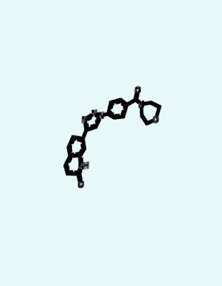 O=C(c1ccc(-n2cc(-c3ccc4ccc(=O)[nH]c4c3)nn2)cc1)N1CCOCC1